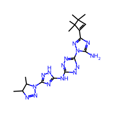 CC1N=NN(c2n[nH]c(Nc3nnc(-n4nc(C5=CC(C)(C)C5(C)C)nc4N)nn3)n2)C1C